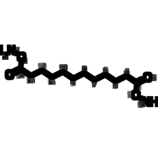 NOC(=O)CCCCCCCCCCC(=O)ON